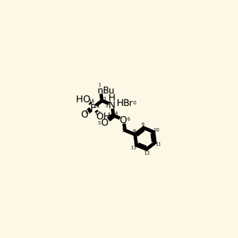 Br.CCCCC(NC(=O)OCc1ccccc1)P(=O)(O)O